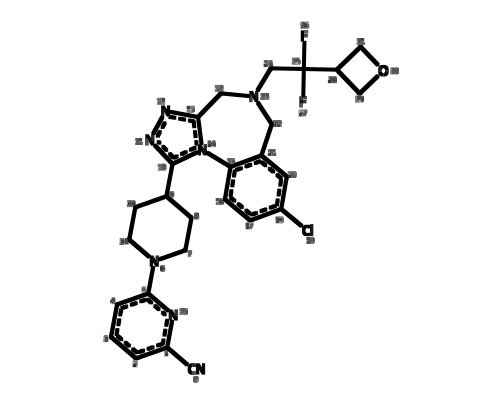 N#Cc1cccc(N2CCC(c3nnc4n3-c3ccc(Cl)cc3CN(CC(F)(F)C3COC3)C4)CC2)n1